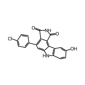 O=C1NC(=O)c2c1c(-c1ccc(Cl)cc1)cc1[nH]c3ccc(O)cc3c21